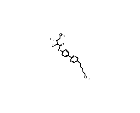 CCCCCCc1cnc(-c2ccc(OC(=O)C(Cl)C(C)CC)cc2)nc1